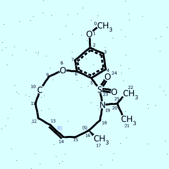 COc1ccc2c(c1)OCCCC/C=C/C[C@H](C)CN(C(C)C)S2(=O)=O